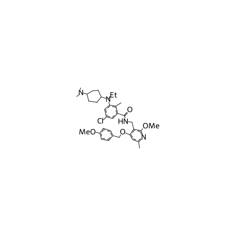 CCN(c1cc(Cl)cc(C(=O)NCc2c(OCc3ccc(OC)cc3)cc(C)nc2OC)c1C)C1CCC(N(C)C)CC1